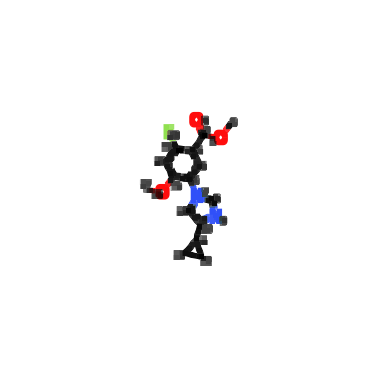 COC(=O)c1cc(-n2cnc(C3CC3)c2)c(OC)cc1F